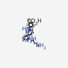 NCCCCNc1ncccc1-c1ccnc(Nc2cccc(C(=O)O)c2)n1